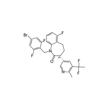 Cc1ncc([C@H]2CCc3c(F)cccc3N(Cc3c(F)cc(Br)cc3F)C2=O)cc1C(C)(F)F